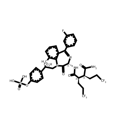 Cc1cccc2c1N(CC(C(=O)O)c1ccc(OP(=O)(O)O)cc1)C(=O)[C@@H](NC(=O)[C@H](CCC(F)(F)F)[C@H](CCC(F)(F)F)C(N)=O)N=C2c1cccc(F)c1